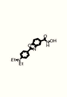 CCN(CC)c1ccc(-c2nc3cc(C(=O)NO)ccc3o2)cc1